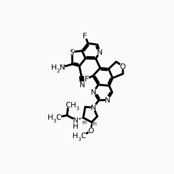 CO[C@@H]1CN(c2ncc3c4c(c(-c5ncc(F)c6sc(N)c(C#N)c56)c(F)c3n2)COC4)C[C@H]1NC(C)C